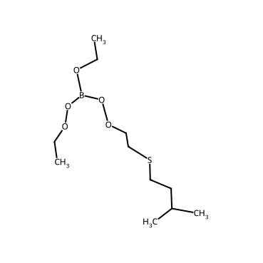 CCOOB(OCC)OOCCSCCC(C)C